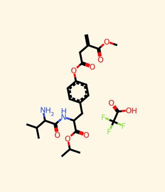 C=C(CC(=O)Oc1ccc(CC(NC(=O)C(N)C(C)C)C(=O)OC(C)C)cc1)C(=O)OC.O=C(O)C(F)(F)F